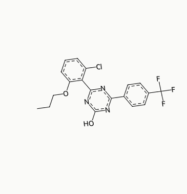 CCCOc1cccc(Cl)c1-c1nc(O)nc(-c2ccc(C(F)(F)F)cc2)n1